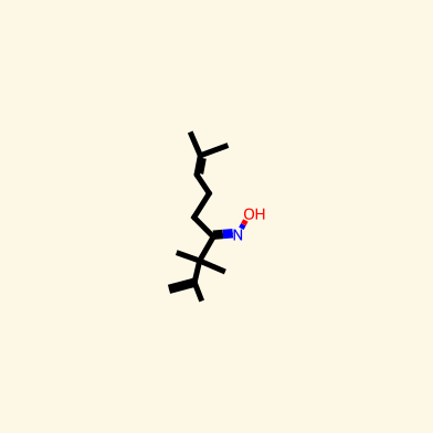 C=C(C)C(C)(C)C(CCC=C(C)C)=NO